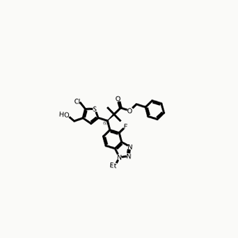 CCn1nnc2c(F)c([C@@H](c3cc(CO)c(Cl)s3)C(C)(C)C(=O)OCc3ccccc3)ccc21